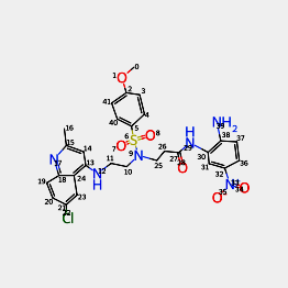 COc1ccc(S(=O)(=O)N(CCNc2cc(C)nc3ccc(Cl)cc23)CCC(=O)Nc2cc([N+](=O)[O-])ccc2N)cc1